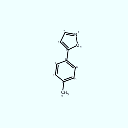 Cc1ccc(-c2[c]cno2)cc1